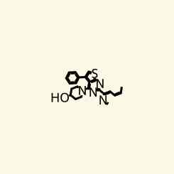 C=N/C(=C\C=C/C)c1nc(N2CCC(O)CC2)c2c(-c3ccccc3)csc2n1